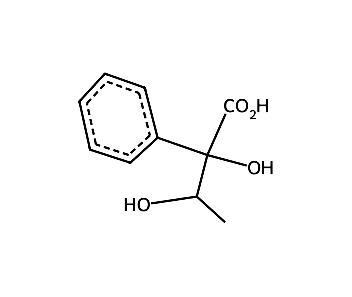 CC(O)C(O)(C(=O)O)c1ccccc1